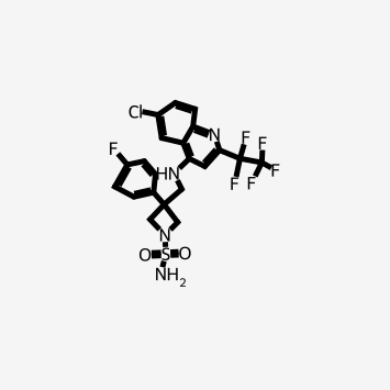 NS(=O)(=O)N1CC(CNc2cc(C(F)(F)C(F)(F)F)nc3ccc(Cl)cc23)(c2ccc(F)cc2)C1